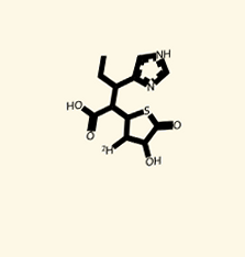 [2H]C1C(O)C(=O)SC1C(C(=O)O)C(CC)c1c[nH]cn1